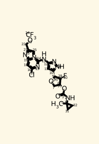 CC1(NC(=O)O[C@@H]2CO[C@H](c3cc(Nc4nc(Cl)cc5nc(COC(F)(F)F)cn45)n[nH]3)[C@H]2F)CC1